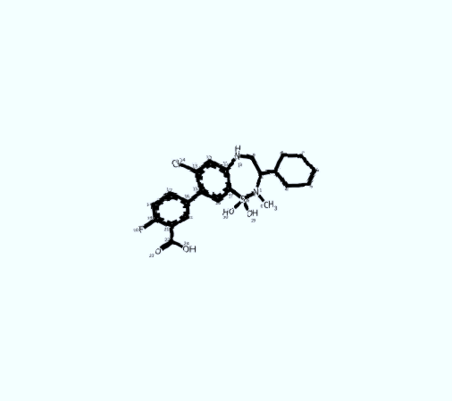 CN1C(C2CCCCC2)CNc2cc(Cl)c(-c3ccc(F)c(C(=O)O)c3)cc2S1(O)O